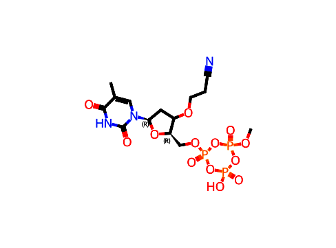 COP1(=O)OP(=O)(O)OP(=O)(OC[C@H]2O[C@@H](n3cc(C)c(=O)[nH]c3=O)CC2OCCC#N)O1